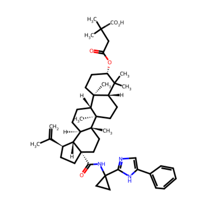 C=C(C)[C@@H]1CC[C@]2(C(=O)NC3(c4ncc(-c5ccccc5)[nH]4)CC3)CC[C@]3(C)[C@H](CC[C@@H]4[C@@]5(C)CC[C@H](OC(=O)CC(C)(C)C(=O)O)C(C)(C)[C@@H]5CC[C@]43C)[C@@H]12